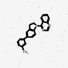 Cc1cccc(-c2ccc3c(c2)CCN3c2ncnc3ccccc23)c1